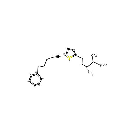 CC(=O)NC(OC(C)=O)[C@H](C)CCc1ccc(C#CCCCc2ccccc2)s1